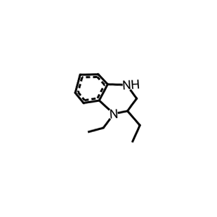 CCC1CNc2ccccc2N1CC